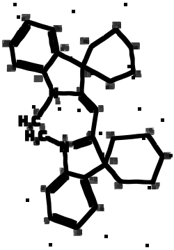 CN1C(=CC2=[N+](C)c3ccccc3C23CCCCC3)C2(CCCCC2)c2ccccc21